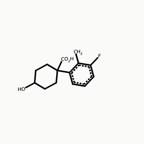 Cc1c(F)cccc1C1(C(=O)O)CCC(O)CC1